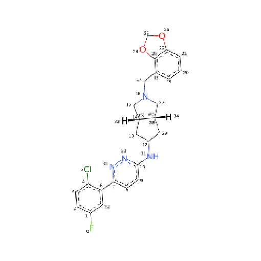 Fc1ccc(Cl)c(-c2ccc(NC3C[C@@H]4CN(Cc5cccc6c5OCO6)C[C@@H]4C3)nn2)c1